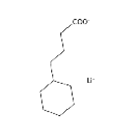 O=C([O-])CCCC1CCCCC1.[Li+]